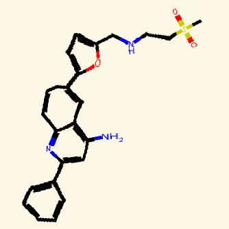 CS(=O)(=O)CCNCc1ccc(-c2ccc3nc(-c4ccccc4)cc(N)c3c2)o1